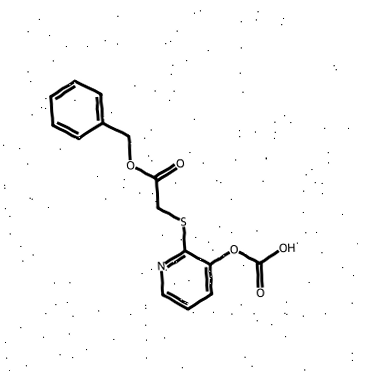 O=C(O)Oc1cccnc1SCC(=O)OCc1ccccc1